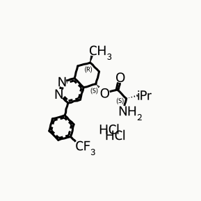 CC(C)[C@H](N)C(=O)O[C@H]1C[C@H](C)Cc2nnc(-c3cccc(C(F)(F)F)c3)cc21.Cl.Cl